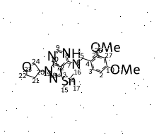 COc1ccc(CNc2ncnc3c2[c]([Sn]([CH3])([CH3])[CH3])nn3C2CCOC2)c(OC)c1